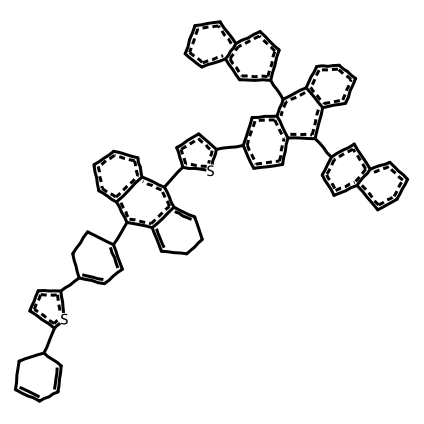 C1=CCC(c2ccc(C3=CC=C(c4c5c(c(-c6ccc(-c7ccc8c(-c9ccc%10ccccc%10c9)c9ccccc9c(-c9ccc%10ccccc%10c9)c8c7)s6)c6ccccc46)=CCCC=5)CC3)s2)C=C1